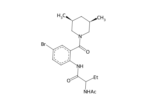 CCC(NC(C)=O)C(=O)Nc1ccc(Br)cc1C(=O)N1C[C@H](C)C[C@H](C)C1